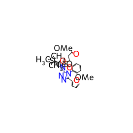 COC(=O)CCS(=O)(=O)N(CC[Si](C)(C)C)c1nnc(-c2ccco2)n1-c1c(OC)cccc1OC